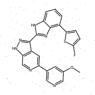 COc1cncc(-c2cc3c(-c4nc5c(-c6ccc(F)s6)cccc5[nH]4)n[nH]c3cn2)c1